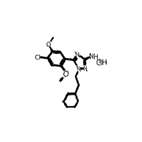 COc1cc(-c2nc(N)nn2CCC2CCCCC2)c(OC)cc1Cl.Cl